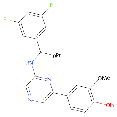 CCCC(Nc1cncc(-c2ccc(O)c(OC)c2)n1)c1cc(F)cc(F)c1